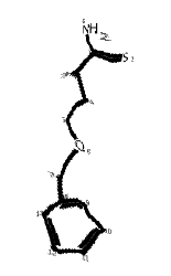 NC(=S)CCCOCc1ccccc1